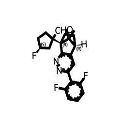 CC1(C)[C@H]2CC[C@@]1(C1(C=O)CC[C@H](F)C1)c1nnc(-c3c(F)cccc3F)cc12